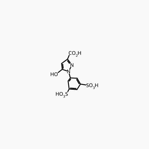 O=C(O)c1cc(O)n(-c2cc(S(=O)(=O)O)cc(S(=O)(=O)O)c2)n1